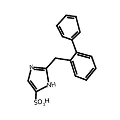 O=S(=O)(O)c1cnc(Cc2ccccc2-c2ccccc2)[nH]1